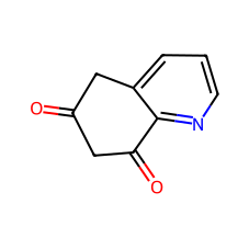 O=C1CC(=O)c2ncccc2C1